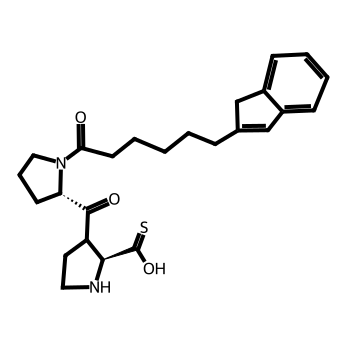 O=C(C1CCN[C@@H]1C(O)=S)[C@@H]1CCCN1C(=O)CCCCCC1=Cc2ccccc2C1